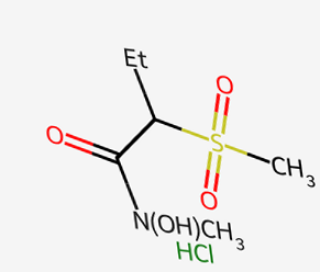 CCC(C(=O)N(C)O)S(C)(=O)=O.Cl